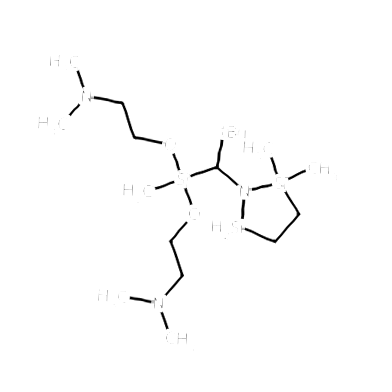 CN(C)CCO[Si](C)(OCCN(C)C)C(N1[SiH2]CC[Si]1(C)C)C(C)(C)C